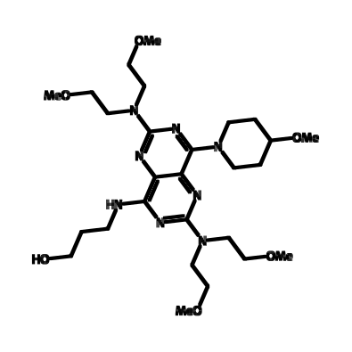 COCCN(CCOC)c1nc(N2CCC(OC)CC2)c2nc(N(CCOC)CCOC)nc(NCCCO)c2n1